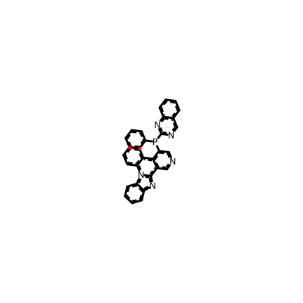 c1ccc(P(c2ncc3ccccc3n2)c2cncc3c2c2ccccc2n2c4ccccc4nc32)cc1